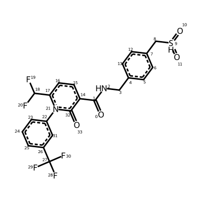 O=C(NCc1ccc(C[SH](=O)=O)cc1)c1ccc(C(F)F)n(-c2cccc(C(F)(F)F)c2)c1=O